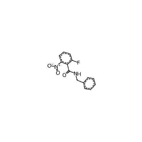 O=C(NCc1ccccc1)c1c(F)cccc1[N+](=O)[O-]